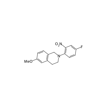 COc1ccc2c(c1)CCN(c1ccc(F)cc1[N+](=O)[O-])C2